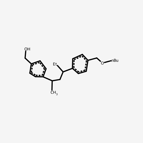 CCCCOCc1ccc(C(CC)CC(C)c2ccc(CO)cc2)cc1